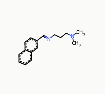 CN(C)CCCN=Cc1ccc2ccccc2c1